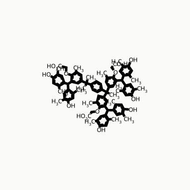 Cc1cc(C(c2cc(C)c(O)cc2C)c2cc(C(C)(C)c3ccc(C(C)(c4cc(C)c(OCC(=O)O)c(C(c5cc(C)c(O)cc5C)c5cc(C)c(O)cc5C)c4)c4cc(C)c(OCC(=O)O)c(C(c5cc(C)c(O)cc5C)c5cc(C)c(O)cc5C)c4)cc3)cc(C)c2OCC(=O)O)c(C)cc1O